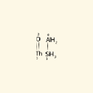 [AlH2][SiH3].[O]=[Th]